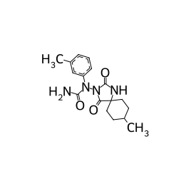 Cc1cccc(N(C(N)=O)N2C(=O)NC3(CCC(C)CC3)C2=O)c1